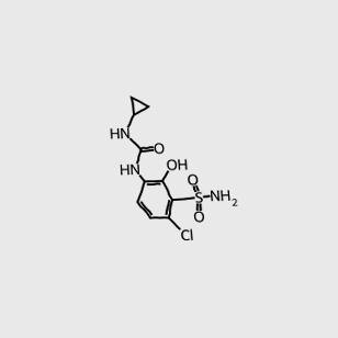 NS(=O)(=O)c1c(Cl)ccc(NC(=O)NC2CC2)c1O